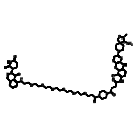 C[C@@H]1OCC2(CCN(c3cnc4c(n3)Nc3ccc(NC(=O)CCC(=O)N5CCN(C(=O)CCOCCOCCOCCOCCOCCOCCNc6cccc7cnn(C8CCC(=O)NC8=O)c(=O)c67)CC5)c(Cl)c3S4)CC2)[C@@H]1N